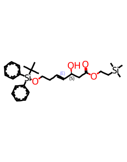 CC(C)(C)[Si](OCC/C=C/[C@@H](O)CC(=O)OCC[Si](C)(C)C)(c1ccccc1)c1ccccc1